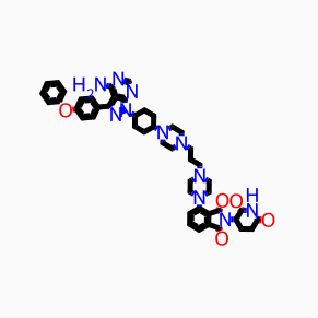 Nc1ncnc2c1c(-c1ccc(Oc3ccccc3)cc1)nn2C1CCC(N2CCN(CCCN3CCN(c4cccc5c4C(=O)N(C4CCC(=O)NC4=O)C5=O)CC3)CC2)CC1